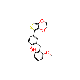 COc1ccccc1Cc1cc(-c2scc3c2OCCO3)ccc1O